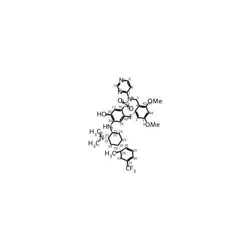 COc1ccc(CN(c2ccncn2)S(=O)(=O)c2cc(O)c(N[C@H]3CC[C@H](C4(C)C=CC=C(C(F)(F)F)C4)C[C@@H]3N(C)C)cc2F)c(OC)c1